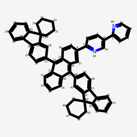 c1ccc(-c2ccc(-c3ccc4c(-c5ccc6c(c5)C5(CCCCC5)c5ccccc5-6)c5ccccc5c(-c5ccc6c(c5)C5(CCCCC5)c5ccccc5-6)c4c3)nc2)nc1